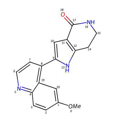 COc1ccc2nccc(-c3cc4c([nH]3)CCNC4=O)c2c1